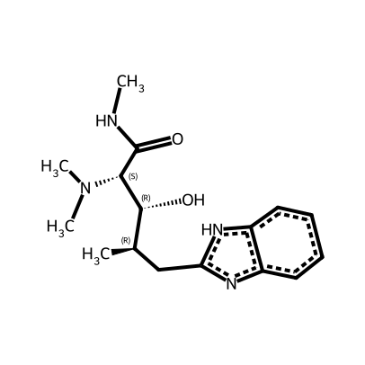 CNC(=O)[C@H]([C@H](O)[C@H](C)Cc1nc2ccccc2[nH]1)N(C)C